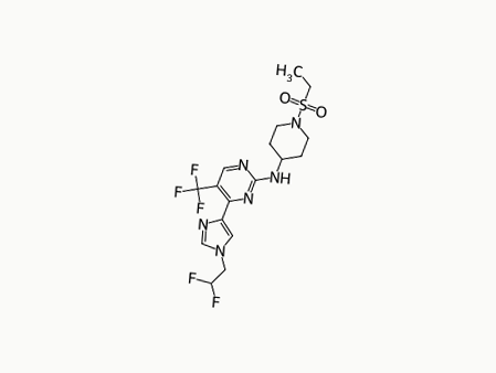 CCS(=O)(=O)N1CCC(Nc2ncc(C(F)(F)F)c(-c3cn(CC(F)F)cn3)n2)CC1